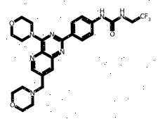 O=C(NCC(F)(F)F)Nc1ccc(-c2nc(N3CCOCC3)c3ncc(CN4CCOCC4)cc3n2)cc1